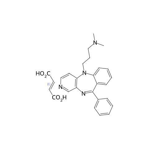 CN(C)CCCN1c2ccncc2N=C(c2ccccc2)c2ccccc21.O=C(O)/C=C/C(=O)O